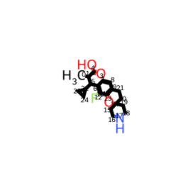 CC(C(=O)O)C(c1ccc2c(c1F)OC1(CCNCC1)CC2)C1CC1